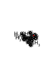 Cc1cc2c3c(c1)N(c1cccc4sc5ccccc5c14)c1ccc(-c4ccccc4)cc1B3c1ccc(N3c4ccc(C(C)(C)C)cc4C4(C)CCCCC34C)cc1N2c1cccc2c1sc1ccccc12